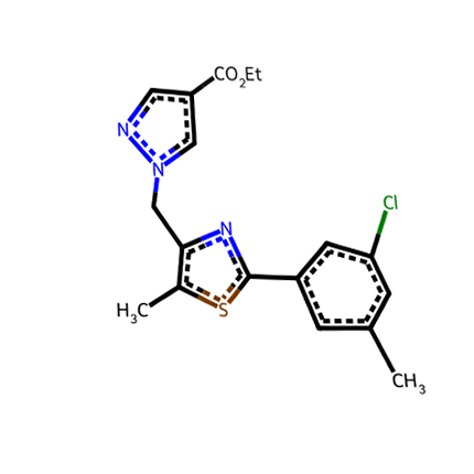 CCOC(=O)c1cnn(Cc2nc(-c3cc(C)cc(Cl)c3)sc2C)c1